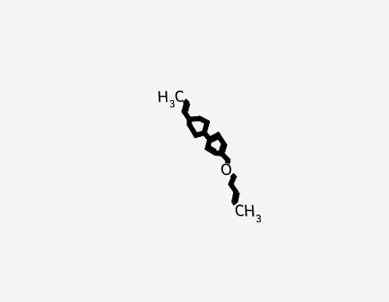 CC=CCCOCc1ccc(C2CCC(/C=C/C)CC2)cc1